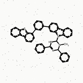 CN1C(c2ccccc2)N=C(c2ccccc2)NC1n1c2ccccc2c2ccc(-c3cccc(-c4cccc5c4sc4ccccc45)c3)cc21